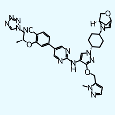 C[C@@H](Cn1cnnn1)Oc1cc(-c2cnc(Nc3cn([C@H]4CC[C@H](N5C=C6C[C@@H]5CO6)CC4)nc3OCc3ccnn3C)nc2)ccc1C#N